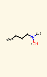 CCCCCCN(O)CC